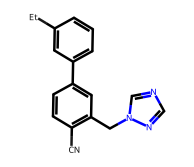 CCc1cccc(-c2ccc(C#N)c(Cn3cncn3)c2)c1